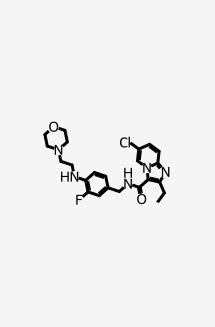 CCc1nc2ccc(Cl)cn2c1C(=O)NCc1ccc(NCCN2CCOCC2)c(F)c1